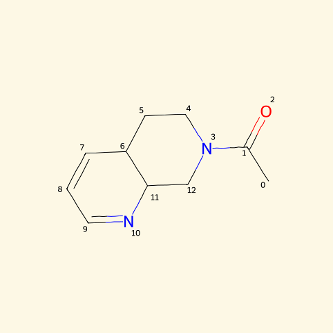 CC(=O)N1CCC2C=CC=NC2C1